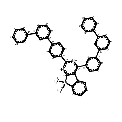 C[Si]1(C)c2ccccc2-c2c(-c3cccc(-c4cccc(-c5ccccc5)c4)c3)nc(-c3ccc(-c4cccc(-c5ccccc5)c4)cc3)nc21